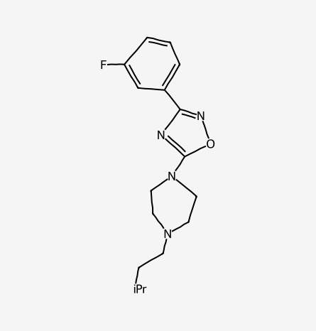 CC(C)CCN1CCN(c2nc(-c3cccc(F)c3)no2)CC1